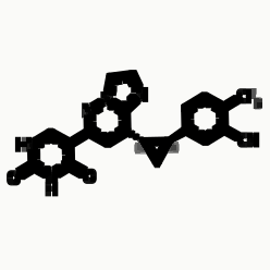 N#Cc1cc([C@H]2C[C@@H]2c2cc(-c3c[nH]c(=O)[nH]c3=O)nn3ccnc23)ccc1C(F)(F)F